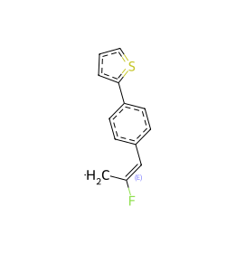 [CH2]/C(F)=C\c1ccc(-c2cccs2)cc1